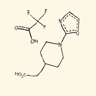 O=C(O)C(F)(F)F.O=C(O)CC1CCN(c2ncco2)CC1